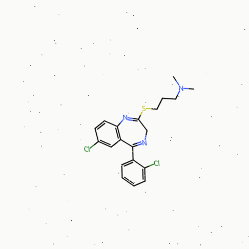 CN(C)CCCSC1=Nc2ccc(Cl)cc2C(c2ccccc2Cl)=NC1